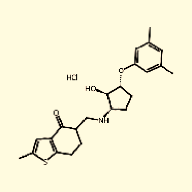 Cc1cc(C)cc(O[C@@H]2CC[C@@H](NCC3CCc4sc(C)cc4C3=O)[C@H]2O)c1.Cl